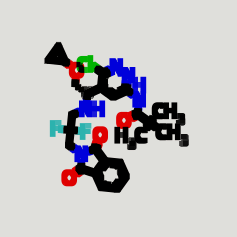 CC(C)(C)C(=O)Nc1cc([C@@H](COC2CC2)NCC(F)(F)CN2C(=O)c3ccccc3C2=O)c(Cl)nn1